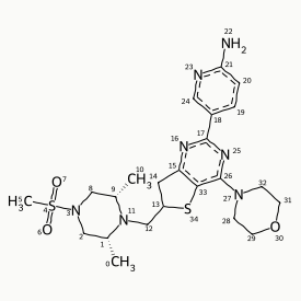 C[C@@H]1CN(S(C)(=O)=O)C[C@H](C)N1CC1Cc2nc(-c3ccc(N)nc3)nc(N3CCOCC3)c2S1